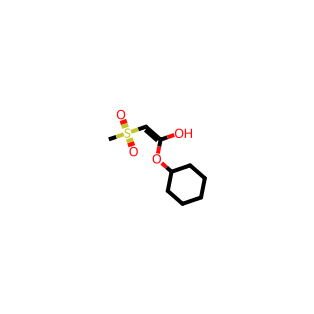 CS(=O)(=O)/C=C(/O)OC1CCCCC1